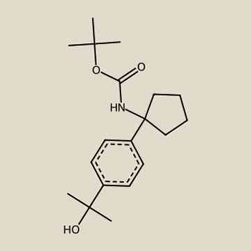 CC(C)(C)OC(=O)NC1(c2ccc(C(C)(C)O)cc2)CCCC1